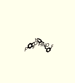 O=C(Cc1cccc(F)c1)NCc1ccnc(OCc2ccc(F)cc2F)c1